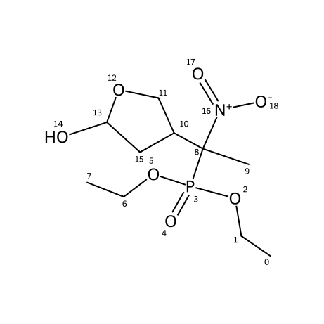 CCOP(=O)(OCC)C(C)(C1COC(O)C1)[N+](=O)[O-]